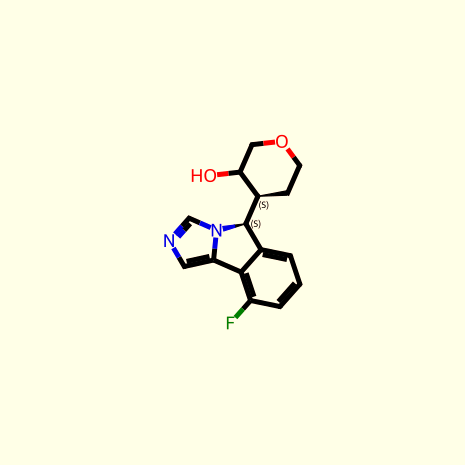 OC1COCC[C@H]1[C@H]1c2cccc(F)c2-c2cncn21